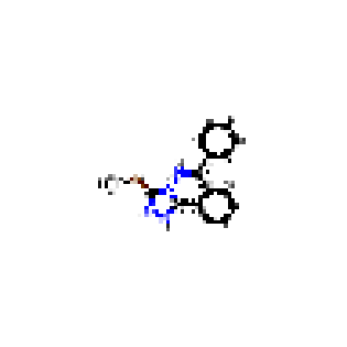 CSc1nnc2c3ccccc3c(-c3ccccc3)nn12